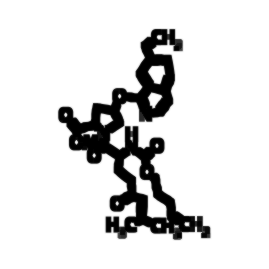 C=CCCCOC(=O)NC(CCC(=O)C=C(C)C)C(=O)N1CC(Oc2nccc3ccc(C=C)cc23)CC1C(=O)OC